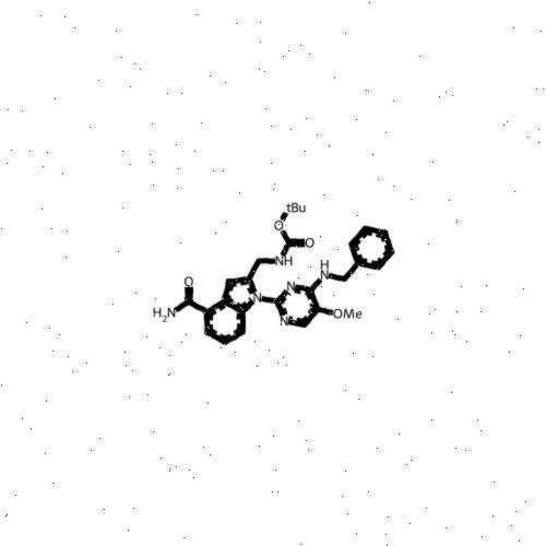 COc1cnc(-n2c(CNC(=O)OC(C)(C)C)cc3c(C(N)=O)cccc32)nc1NCc1ccccc1